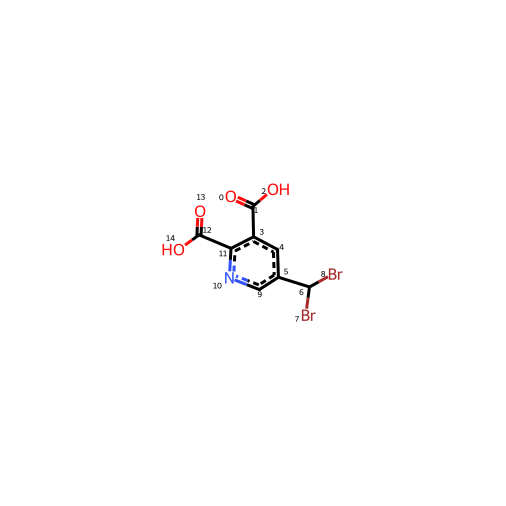 O=C(O)c1cc(C(Br)Br)cnc1C(=O)O